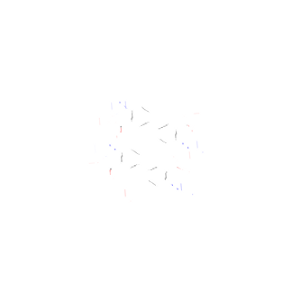 Nc1ccc(-c2ccc(N)c(C(=O)O)c2)cc1C(=O)O.Nc1ccc(-c2ccc(N)c(C(=O)O)c2)cc1C(=O)O.O